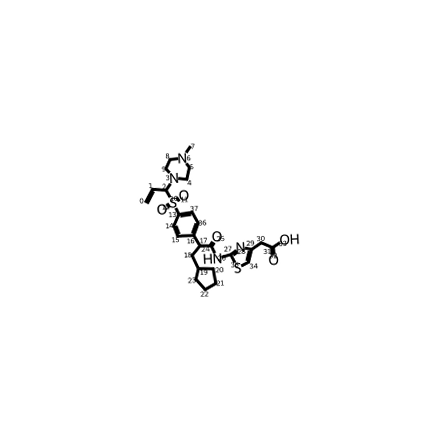 C=CC(N1CCN(C)CC1)S(=O)(=O)c1ccc(C(CC2CCCC2)C(=O)Nc2nc(CC(=O)O)cs2)cc1